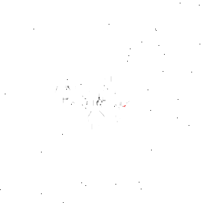 CCC1C2CCC(N(C)C(=O)OC(C)(C)C)(CO2)c2nc(C(=O)NCc3ccc(F)cc3)c(O)c(=O)n21